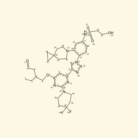 CCC(CC=O)COc1cc(-c2cn(-c3ccc(NS(=O)(=O)CCO)cc3N3CCC4(CC3)CC4)nn2)nc(N2CCC(F)(F)CC2)n1